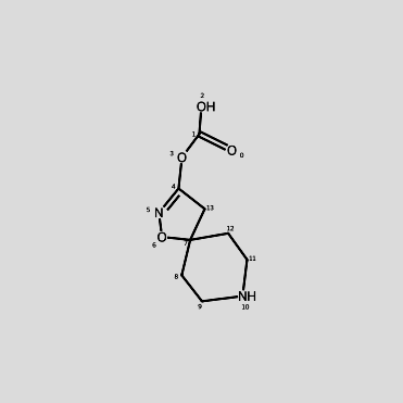 O=C(O)OC1=NOC2(CCNCC2)C1